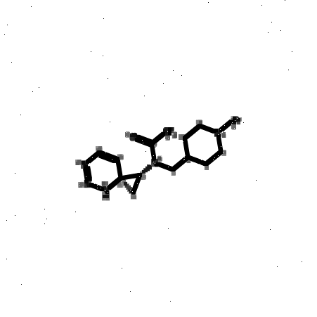 CC(C)N1CCC(CN(C(=O)C(F)(F)F)[C@@H]2C[C@]23C=CN=NN3)CC1